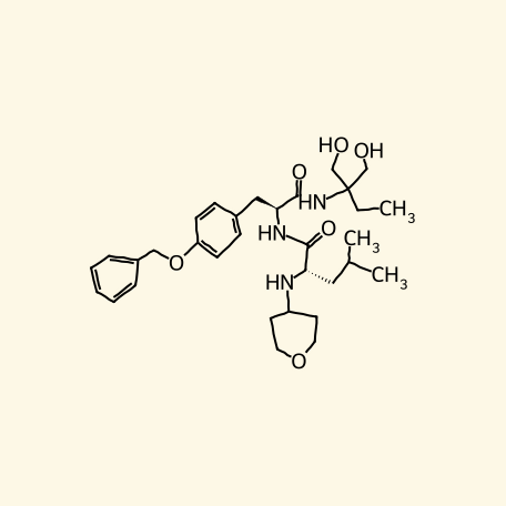 CCC(CO)(CO)NC(=O)[C@H](Cc1ccc(OCc2ccccc2)cc1)NC(=O)[C@H](CC(C)C)NC1CCOCC1